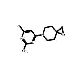 Cc1nc(Cl)cc(N2CCC3(CC2)CO3)n1